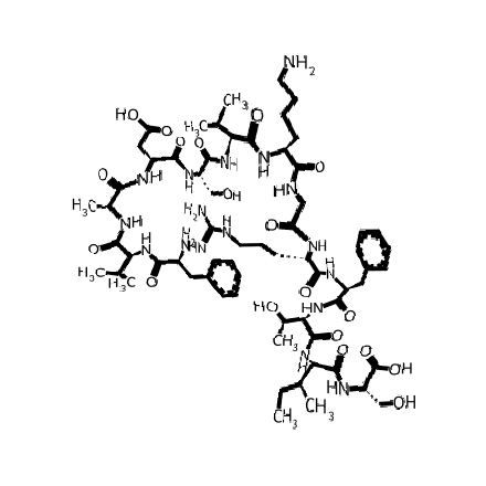 CC[C@H](C)[C@H](NC(=O)[C@@H](NC(=O)[C@H](Cc1ccccc1)NC(=O)[C@H](CCCNC(=N)N)NC(=O)CNC(=O)[C@H](CCCCN)NC(=O)[C@@H](NC(=O)[C@H](CO)NC(=O)[C@H](CC(=O)O)NC(=O)[C@H](C)NC(=O)[C@@H](NC(=O)[C@@H](N)Cc1ccccc1)C(C)C)C(C)C)[C@@H](C)O)C(=O)N[C@@H](CO)C(=O)O